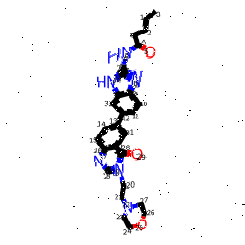 CCCCC(=O)Nc1nc2ccc(-c3ccc4ncn(CCN5CCOCC5)c(=O)c4c3)cc2[nH]1